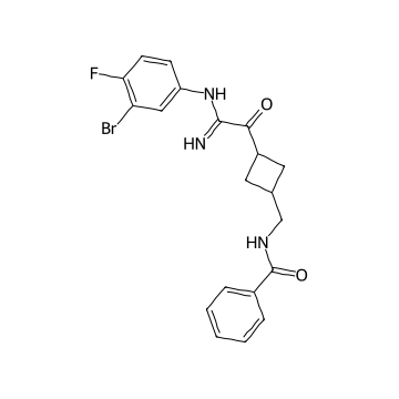 N=C(Nc1ccc(F)c(Br)c1)C(=O)C1CC(CNC(=O)c2ccccc2)C1